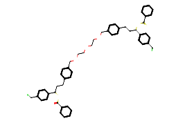 O=C(SC(CCc1ccc(COCCOCCOCc2ccc(CCC(SC(=S)c3ccccc3)c3ccc(CCl)cc3)cc2)cc1)c1ccc(CCl)cc1)c1ccccc1